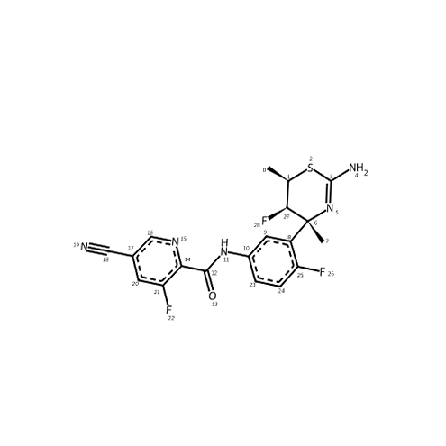 C[C@H]1SC(N)=N[C@](C)(c2cc(NC(=O)c3ncc(C#N)cc3F)ccc2F)[C@H]1F